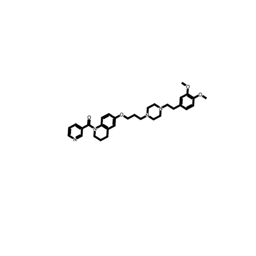 COc1ccc(CCN2CCN(CCCOc3ccc4c(c3)CCCN4C(=O)c3cccnc3)CC2)cc1OC